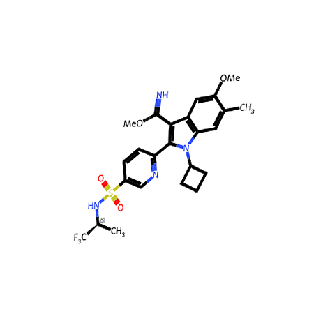 COC(=N)c1c(-c2ccc(S(=O)(=O)N[C@@H](C)C(F)(F)F)cn2)n(C2CCC2)c2cc(C)c(OC)cc12